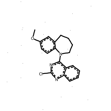 COc1ccc2c(c1)CCCCN2c1nc(Cl)nc2ccccc12